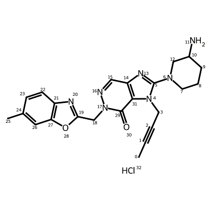 CC#CCn1c(N2CCCC(N)C2)nc2cnn(Cc3nc4ccc(C)cc4o3)c(=O)c21.Cl